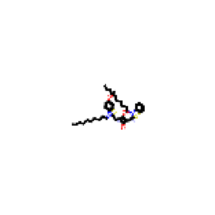 CCCCCCCCCCN1/C(=C\C2=C(O)C(=C\c3sc4cc(OC(C)C)ccc4[n+]3CCCCCCCCCC)/C2=O)Sc2ccccc21